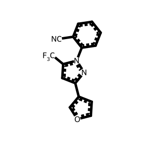 N#Cc1ccccc1-n1nc(-c2ccoc2)cc1C(F)(F)F